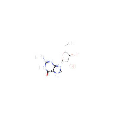 CC[C@H]1OC(n2cnc3c(=O)[nH]c(N)nc32)[C@@H](O)C1O